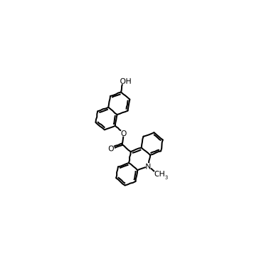 CN1C2=CC=CCC2=C(C(=O)Oc2cccc3cc(O)ccc23)c2ccccc21